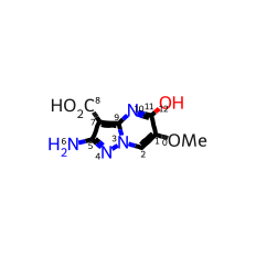 COc1cn2nc(N)c(C(=O)O)c2nc1O